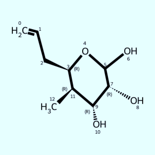 C=CC[C@H]1OC(O)[C@H](O)[C@H](O)[C@H]1C